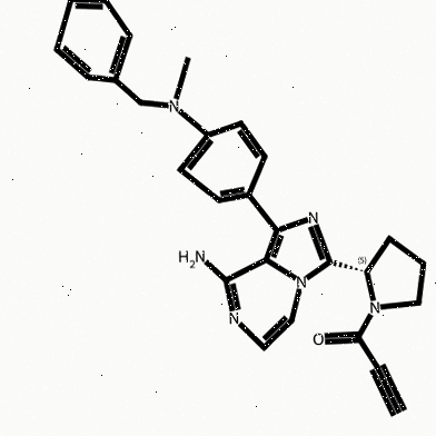 C#CC(=O)N1CCC[C@H]1c1nc(-c2ccc(N(C)Cc3ccccc3)cc2)c2c(N)nccn12